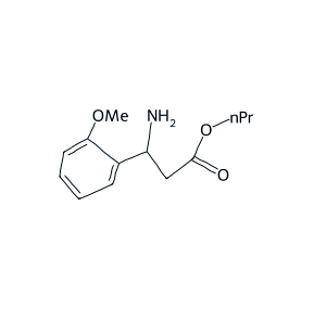 CCCOC(=O)CC(N)c1ccccc1OC